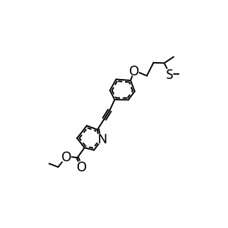 CCOC(=O)c1ccc(C#Cc2ccc(OCCC(C)SC)cc2)nc1